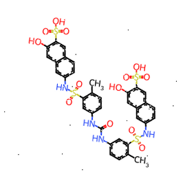 Cc1ccc(NC(=O)Nc2ccc(C)c(S(=O)(=O)Nc3ccc4cc(S(=O)(=O)O)c(O)cc4c3)c2)cc1S(=O)(=O)Nc1ccc2cc(S(=O)(=O)O)c(O)cc2c1